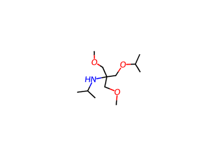 COCC(COC)(COC(C)C)NC(C)C